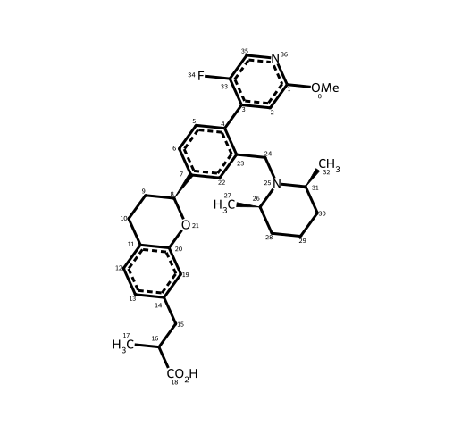 COc1cc(-c2ccc([C@@H]3CCc4ccc(CC(C)C(=O)O)cc4O3)cc2CN2[C@H](C)CCC[C@@H]2C)c(F)cn1